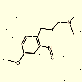 COc1ccc(CCCN(C)C)c(N=O)c1